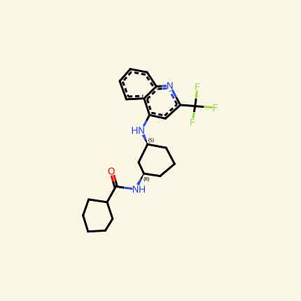 O=C(N[C@@H]1CCC[C@H](Nc2cc(C(F)(F)F)nc3ccccc23)C1)C1CCCCC1